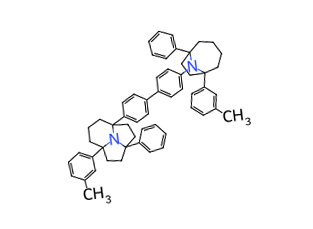 Cc1cccc(C23CCCCC(c4ccccc4)(CC2)N3c2ccc(-c3ccc(C45CCCC6(c7cccc(C)c7)CCC(c7ccccc7)(CC4)N56)cc3)cc2)c1